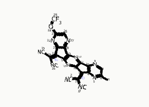 [C-]#[N+]/C(C#N)=C1\c2nc(C)cnc2-c2nc3c(nc21)/C(=C(/C#N)[N+]#[C-])c1nc(OC(F)(F)F)cnc1-3